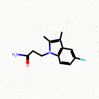 Cc1c(C)n(CCC(N)=O)c2ccc(F)cc12